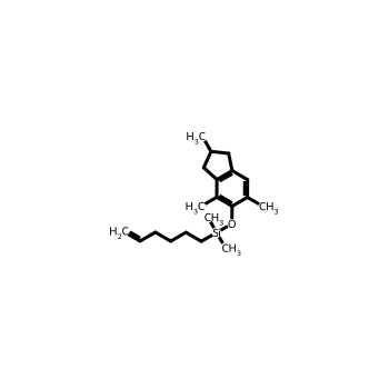 C=CCCCC[Si](C)(C)Oc1c(C)cc2c(c1C)CC(C)C2